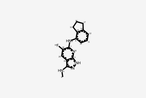 CNc1n[nH]c2nc(Nc3cccc4c3CCC4)c(F)cc12